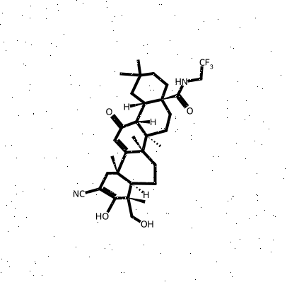 CC1(C)CC[C@]2(C(=O)NCC(F)(F)F)CC[C@]3(C)[C@H](C(=O)C=C4[C@@]5(C)CC(C#N)=C(O)[C@@](C)(CO)[C@@H]5CC[C@]43C)[C@@H]2C1